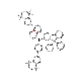 CC1(C)CCC(C)(C)c2cc(-c3ccc(-c4cc5c(cc4N(c4ccccc4)c4ccc(-c6ccc7c(c6)C(C)(C)CCC7(C)C)cc4)C(c4ccccc4)(c4ccccc4)c4ccccc4-5)cc3)ccc21